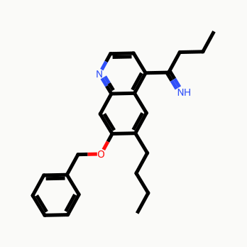 CCCCc1cc2c(C(=N)CCC)ccnc2cc1OCc1ccccc1